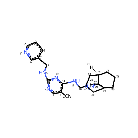 N#Cc1cnc(NCc2cccnc2)nc1NCC1CC2CCC[C@H](C1)[C@H]2N